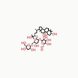 C[C@H](CC[C@@H](O[C@@H]1O[C@H](CO[C@@H]2O[C@H](CO)[C@@H](O)C[C@H]2O)[C@@H](O)C[C@H]1OC1O[C@@H](CO)[C@H](O)[C@@H](O)[C@@H]1O)C(C)(C)O)C1CC[C@@]2(C)C3CC=C4C(CC[C@H](O)C4(C)C)[C@]3(C)[C@H](O)C[C@]12C